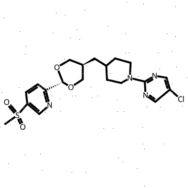 CS(=O)(=O)c1ccc([C@H]2OC[C@H](CC3CCN(c4ncc(Cl)cn4)CC3)CO2)nc1